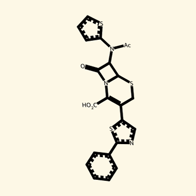 CC(=O)N(c1cccs1)C1C(=O)N2C(C(=O)O)=C(c3cnc(-c4ccccc4)s3)CSC12